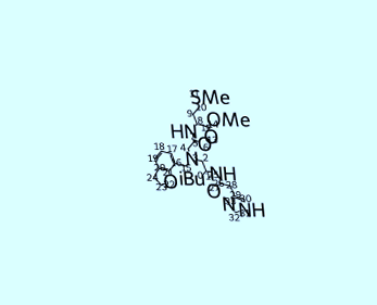 CCC(C)C(CN(CC(=O)NC(CCSC)C(=O)OC)Cc1cccc2c1OCC2)NC(=O)Cc1c[nH]cn1